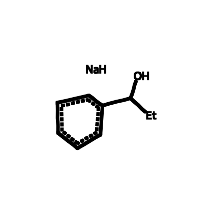 CCC(O)c1ccccc1.[NaH]